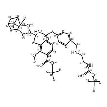 COc1c(CC(NC(=O)Cc2ccc(CNCCNC(=O)OC(C)(C)C)cc2)B2OC3CC4CC(C4(C)C)C3(C)O2)cccc1C(=O)OC(C)(C)C